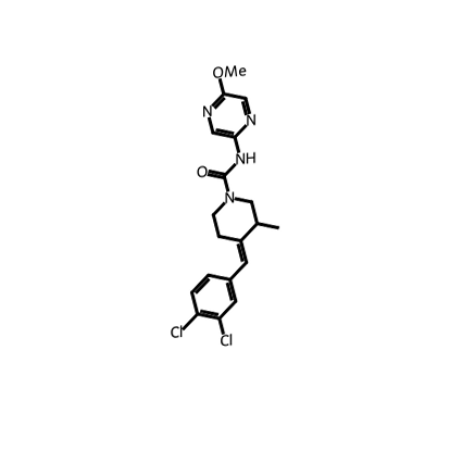 COc1cnc(NC(=O)N2CCC(=Cc3ccc(Cl)c(Cl)c3)C(C)C2)cn1